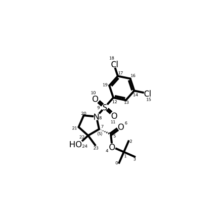 CC(C)(C)OC(=O)[C@H]1N(S(=O)(=O)c2cc(Cl)cc(Cl)c2)CCC1(C)O